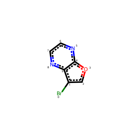 Brc1coc2nccnc12